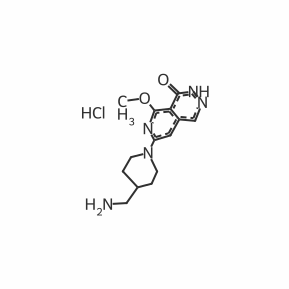 COc1nc(N2CCC(CN)CC2)cc2cn[nH]c(=O)c12.Cl